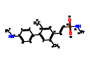 Cc1cc(-c2ccc(NC(C)C)cc2)c(C)cc1/C=C/S(=O)(=O)NC(C)C